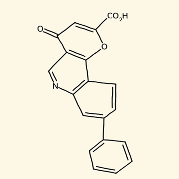 O=C(O)c1cc(=O)c2cnc3cc(-c4ccccc4)ccc3c2o1